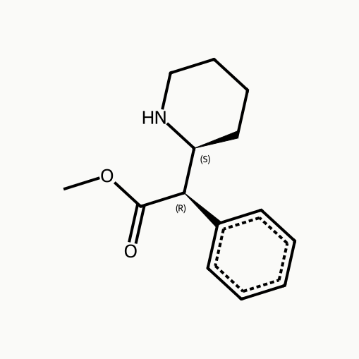 COC(=O)[C@H](c1ccccc1)[C@@H]1CCCCN1